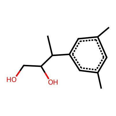 Cc1cc(C)cc(C(C)C(O)CO)c1